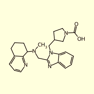 CN(Cc1nc2ccccc2n1CC1CCN(C(=O)O)C1)C1CCCc2cccnc21